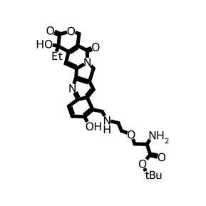 CCC1(O)C(=O)OCc2c1cc1n(c2=O)Cc2cc3c(CNCCOCC(N)C(=O)OC(C)(C)C)c(O)ccc3nc2-1